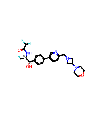 O=C(N[C@H](CF)[C@@H](O)c1ccc(-c2ccc(CN3CC(N4CCOCC4)C3)nc2)cc1)C(F)F